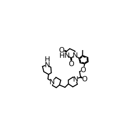 Cc1ccc(OCC(=O)N2CCC(CC3CCN(CC4CCNCC4)CC3)CC2)cc1N1CCC(=O)NC1=O